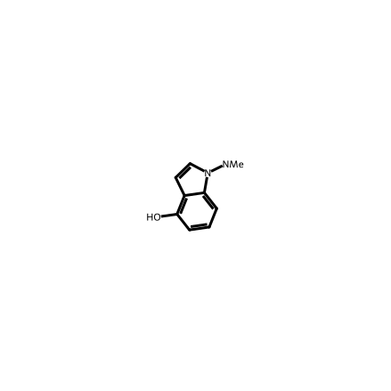 CNn1ccc2c(O)cccc21